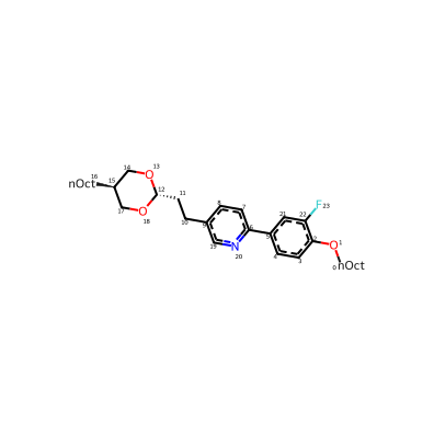 CCCCCCCCOc1ccc(-c2ccc(CC[C@H]3OC[C@H](CCCCCCCC)CO3)cn2)cc1F